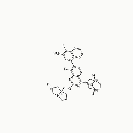 Oc1cc(-c2ccc3c(N4C[C@H]5CC[C@@H](C4)N5)nc(OC[C@@]45CCCN4C[C@H](F)C5)nc3c2F)c2ccccc2c1F